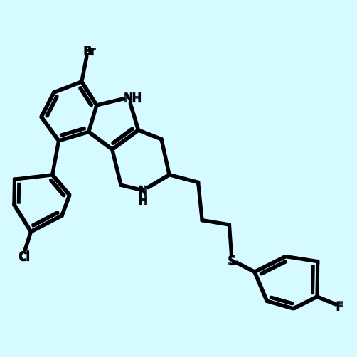 Fc1ccc(SCCCC2Cc3[nH]c4c(Br)ccc(-c5ccc(Cl)cc5)c4c3CN2)cc1